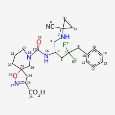 N#CC1(NC[C@H](CC(F)(F)Cc2ccccc2)NC(=O)N2CCCC3(CC(C(=O)O)=NO3)C2)CC1